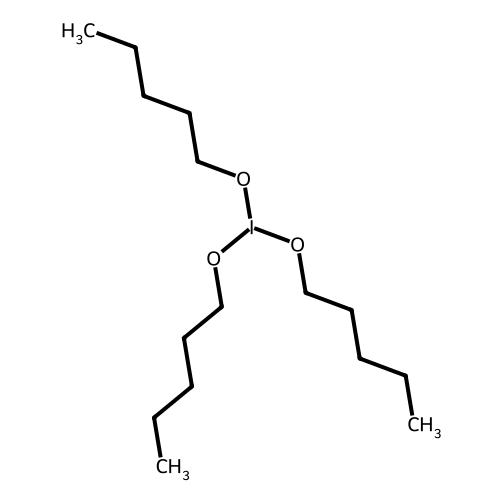 CCCCCOI(OCCCCC)OCCCCC